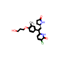 Cc1cc(/C(=C\[C@H]2CCC(=O)N2)c2ccc(Cl)c(=O)[nH]2)ccc1OCCCO